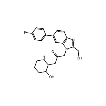 O=C(CC1NCCCC1O)Cn1c(CO)nc2ccc(-c3ccc(F)cc3)cc21